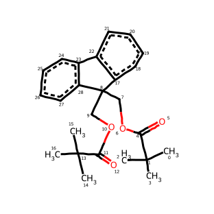 CC(C)(C)C(=O)OCC1(COC(=O)C(C)(C)C)c2ccccc2-c2ccccc21